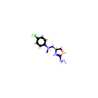 CN(C[C@H]1COC(N)=N1)c1ccc(Cl)cc1